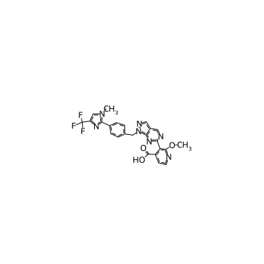 COc1nccc(C(=O)O)c1-c1ncc2cnn(Cc3ccc(-c4nc(C(F)(F)F)cn4C)cc3)c2n1